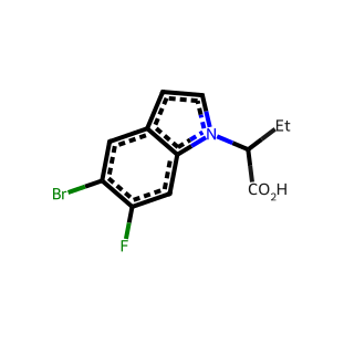 CCC(C(=O)O)n1ccc2cc(Br)c(F)cc21